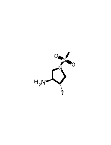 CS(=O)(=O)N1C[C@H](N)[C@@H](F)C1